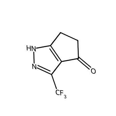 O=C1CCc2[nH]nc(C(F)(F)F)c21